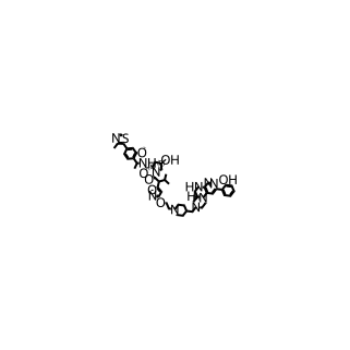 COc1cc(-c2scnc2C)ccc1C(C)NC(=O)[C@@H]1C[C@@H](O)CN1C(=O)C(c1cc(OCCN2CCC(CN3CCN4c5cc(-c6ccccc6O)nnc5NC[C@H]4C3)CC2)no1)C(C)C